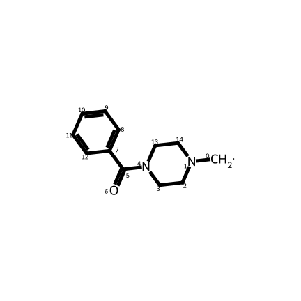 [CH2]N1CCN(C(=O)c2ccccc2)CC1